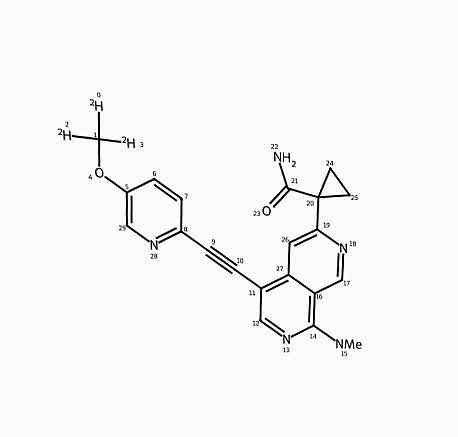 [2H]C([2H])([2H])Oc1ccc(C#Cc2cnc(NC)c3cnc(C4(C(N)=O)CC4)cc23)nc1